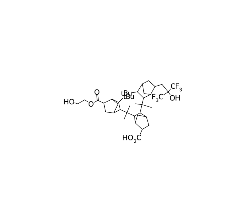 CC(C)(C)C1C2CC(CC2C(=O)OCCO)C1C(C)(C)C1C2CC(CC2C(=O)O)C1C(C)(C)C1C2CC(CC2CC(O)(C(F)(F)F)C(F)(F)F)C1C(C)(C)C